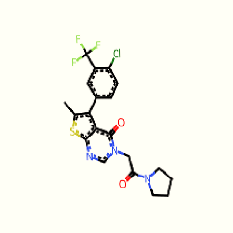 Cc1sc2ncn(CC(=O)N3CCCC3)c(=O)c2c1-c1ccc(Cl)c(C(F)(F)F)c1